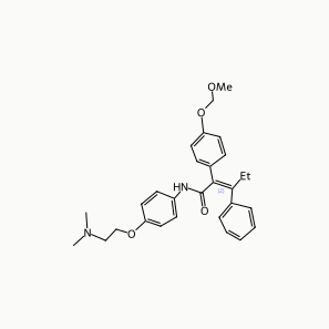 CC/C(=C(/C(=O)Nc1ccc(OCCN(C)C)cc1)c1ccc(OCOC)cc1)c1ccccc1